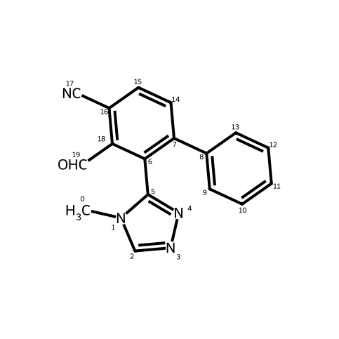 Cn1cnnc1-c1c(-c2ccccc2)ccc(C#N)c1C=O